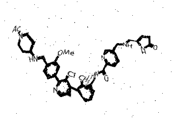 COc1cc(-c2nccc(-c3cccc(NC(=O)c4ccc(CNC[C@H]5CCC(=O)N5)cn4)c3C)c2Cl)ccc1CNC1CCN(C(C)=O)CC1